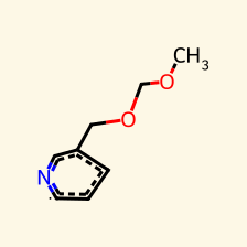 COCOCc1cc[c]nc1